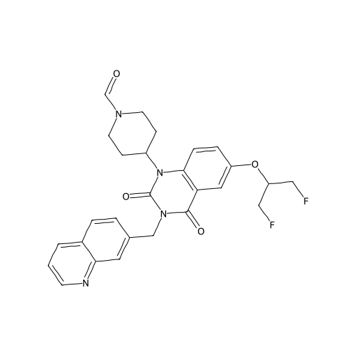 O=CN1CCC(n2c(=O)n(Cc3ccc4cccnc4c3)c(=O)c3cc(OC(CF)CF)ccc32)CC1